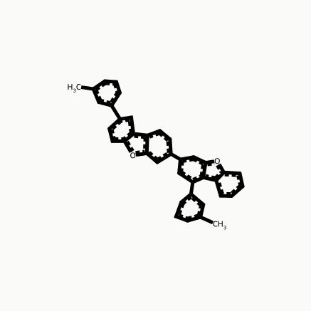 Cc1cccc(-c2ccc3oc4cc(-c5cc(-c6cccc(C)c6)c6c(c5)oc5ccccc56)ccc4c3c2)c1